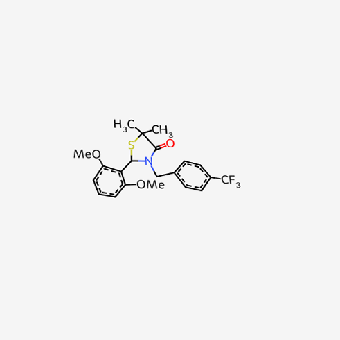 COc1cccc(OC)c1C1SC(C)(C)C(=O)N1Cc1ccc(C(F)(F)F)cc1